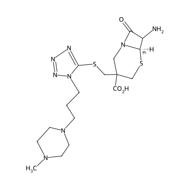 CN1CCN(CCCn2nnnc2SCC2(C(=O)O)CS[C@@H]3C(N)C(=O)N3C2)CC1